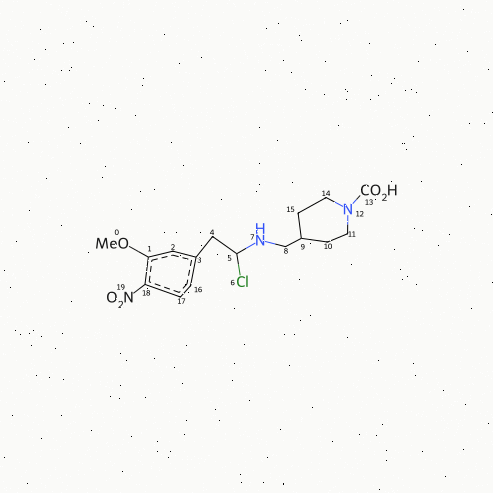 COc1cc(CC(Cl)NCC2CCN(C(=O)O)CC2)ccc1[N+](=O)[O-]